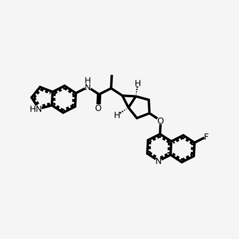 CC(C(=O)Nc1ccc2[nH]ccc2c1)C1[C@H]2CC(Oc3ccnc4ccc(F)cc34)C[C@@H]12